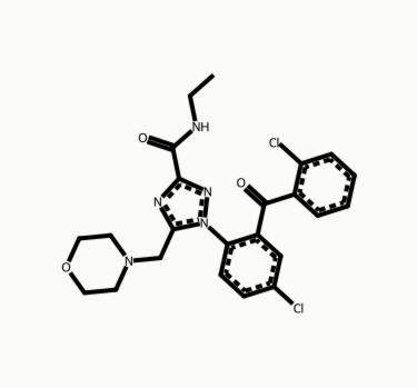 CCNC(=O)c1nc(CN2CCOCC2)n(-c2ccc(Cl)cc2C(=O)c2ccccc2Cl)n1